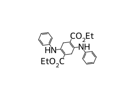 CCOC(=O)C1=C(Nc2ccccc2)CC(C(=O)OCC)=C(Nc2ccccc2)C1